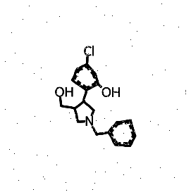 OCC1CN(Cc2ccccc2)CC1c1ccc(Cl)cc1O